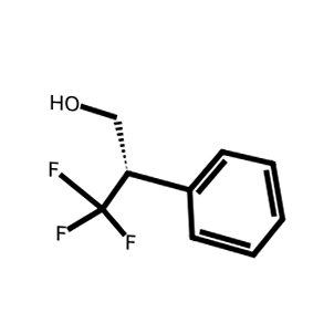 OC[C@H](c1ccccc1)C(F)(F)F